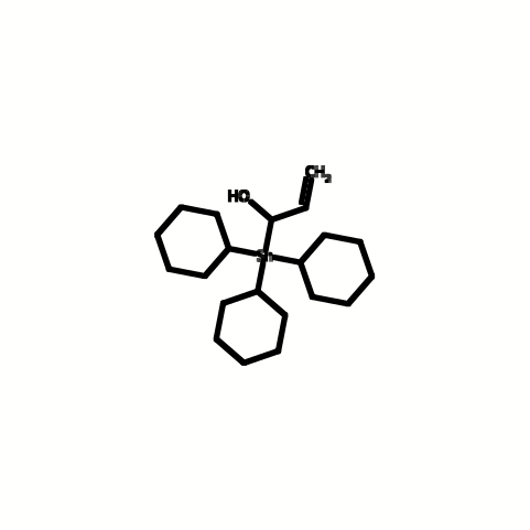 C=C[CH](O)[Sn]([CH]1CCCCC1)([CH]1CCCCC1)[CH]1CCCCC1